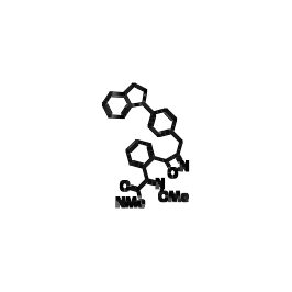 CNC(=O)C(=NOC)c1ccccc1C1ON=C1Cc1ccc(C2CCc3ccccc32)cc1